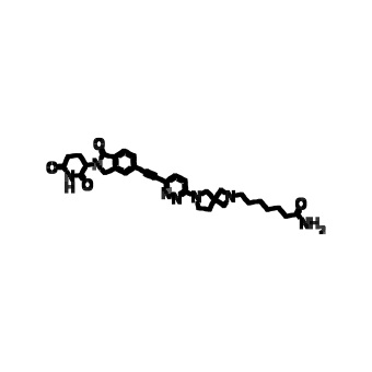 NC(=O)CCCCCCN1CC2(CCN(c3ccc(C#Cc4ccc5c(c4)CN(C4CCC(=O)NC4=O)C5=O)nn3)C2)C1